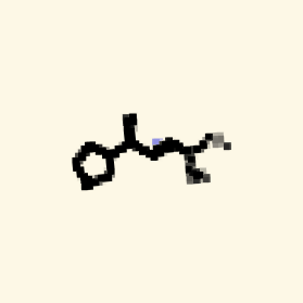 CN(C)/C=C/C(=O)C1CCOC1